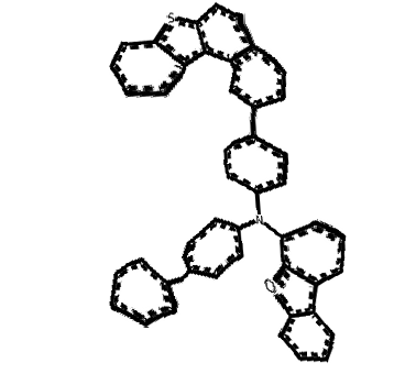 c1ccc(-c2ccc(N(c3ccc(-c4ccc5ccc6sc7ccccc7c6c5c4)cc3)c3cccc4c3oc3ccccc34)cc2)cc1